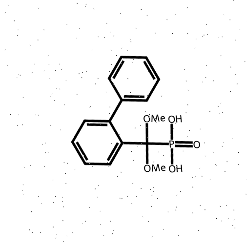 COC(OC)(c1ccccc1-c1ccccc1)P(=O)(O)O